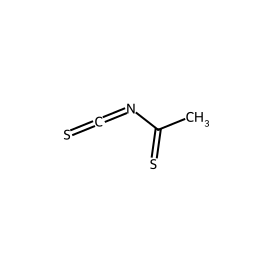 CC(=S)N=C=S